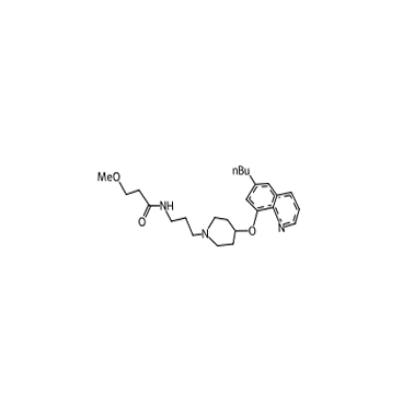 CCCCc1cc(OC2CCN(CCCNC(=O)CCOC)CC2)c2ncccc2c1